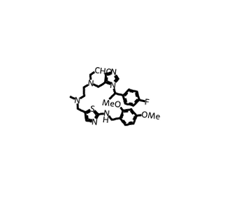 COc1ccc(CNc2ncc(CN(C)CCN(CC=O)Cc3cncn3C(C)c3ccc(F)cc3)s2)c(OC)c1